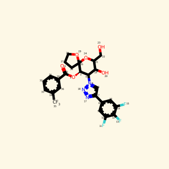 O=C(O[C@@H]1C(n2cc(-c3cc(F)c(F)c(F)c3)nn2)C(O)C(CO)OC12CCCO2)c1cccc(C(F)(F)F)c1